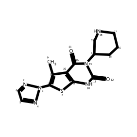 Cc1c(-n2nccn2)sc2[nH]c(=O)n(C3CCCNC3)c(=O)c12